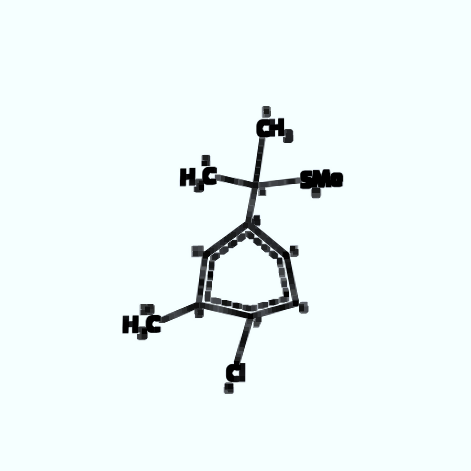 [CH2]SC(C)(C)c1ccc(Cl)c(C)c1